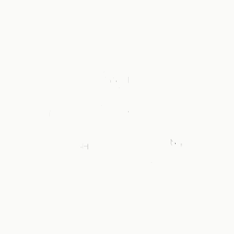 CCC(S)C(C(=O)O)c1ccncc1